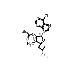 C[C@H]1[C@@H](OC(=O)C(C)(C)C)[C@H](n2cnc3c(Cl)ncnc32)O[C@]12C[C@H](C)C2